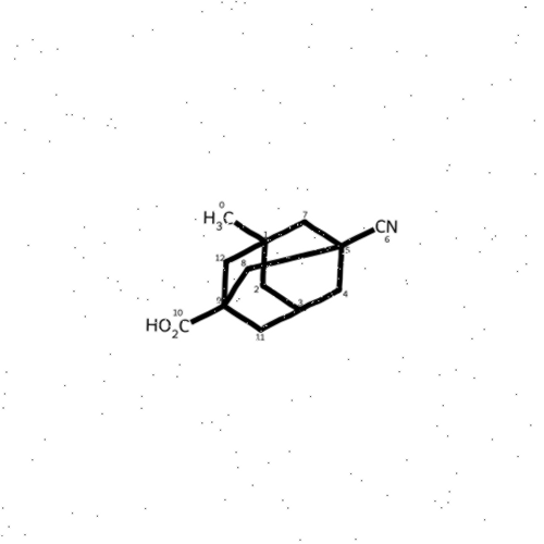 CC12C[C]3CC(C#N)(C1)CC(C(=O)O)(C3)C2